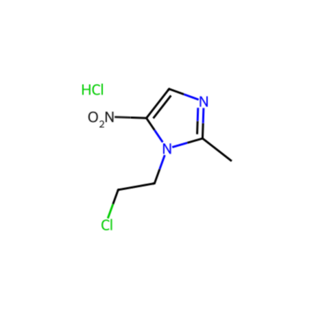 Cc1ncc([N+](=O)[O-])n1CCCl.Cl